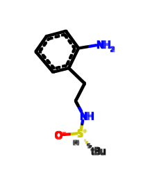 CC(C)(C)[S@+]([O-])NCCc1ccccc1N